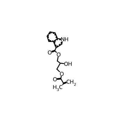 C=C(C)C(=O)OCC(O)COC(=O)c1c[nH]c2ccccc12